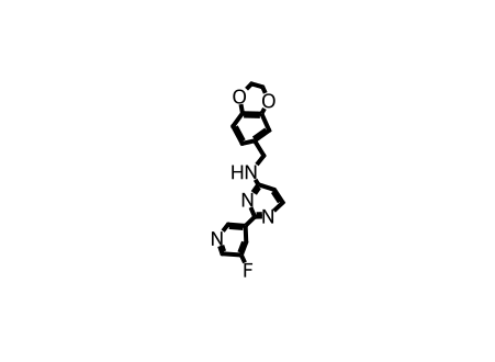 Fc1cncc(-c2nccc(NCc3ccc4c(c3)OCCO4)n2)c1